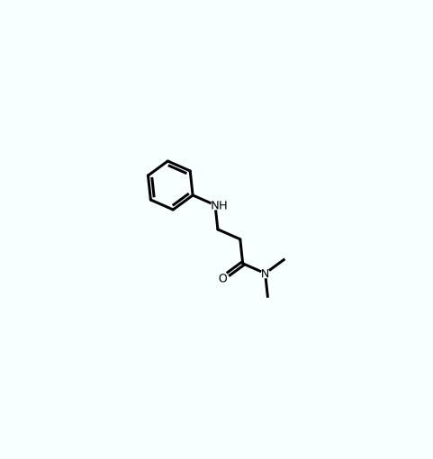 CN(C)C(=O)CCNc1ccccc1